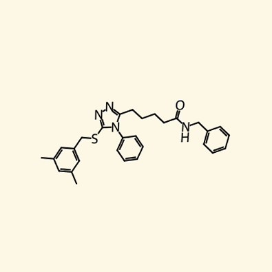 Cc1cc(C)cc(CSc2nnc(CCCCC(=O)NCc3ccccc3)n2-c2ccccc2)c1